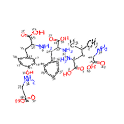 CC(C)CC(N)C(=O)O.NC(Cc1ccc(O)cc1)C(=O)O.NC(Cc1ccccc1)C(=O)O.NCC(=O)O.NCC(=O)O